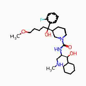 CNCC(NC(=O)N1CCCC(C(O)(CCCCOC)c2ccccc2F)C1)C(O)C1CCCCC1